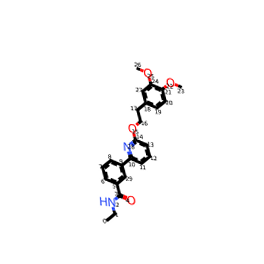 CCNC(=O)c1cccc(-c2cccc(OCCc3ccc(OC)c(OC)c3)n2)c1